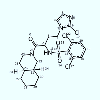 O=C(C(CCn1ccnc1Cl)NS(=O)(=O)c1c(Cl)cccc1Cl)N1CC[C@@H]2CCCC[C@H]2C1